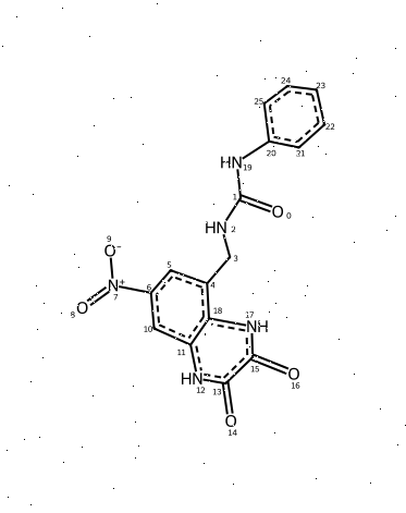 O=C(NCc1cc([N+](=O)[O-])cc2[nH]c(=O)c(=O)[nH]c12)Nc1ccccc1